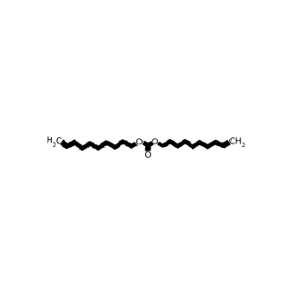 C=CCCCCCCCCOC(=O)OCCCCCCCCC=C